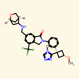 CO[C@H]1C[C@](c2cccc(N3Cc4c(cc(CNC5C[C@@H]6C[C@H]5CO6)cc4C(F)(F)F)C3=O)c2)(c2nncn2C)C1